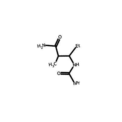 CCCC(=O)NC(CC)C(C)C(N)=O